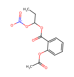 CCC(OC(=O)c1ccccc1OC(C)=O)O[N+](=O)[O-]